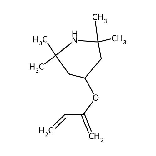 C=CC(=C)OC1CC(C)(C)NC(C)(C)C1